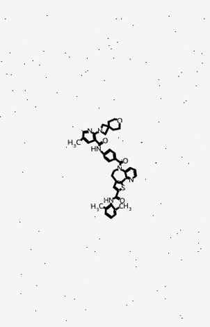 Cc1cnc(N2CC3(CCOCC3)C2)c(C(=O)Nc2ccc(C(=O)N3CCc4cc(C(=O)Nc5c(C)cccc5C)sc4-c4ncccc43)cc2)c1